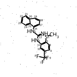 CSc1ccc(C(F)(F)F)cc1NC(=N)Nc1cccc2ccccc12